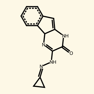 O=C1NC2=Cc3ccccc3C2N=C1NN=C1CC1